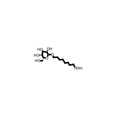 CCCCCCCCCCCCCCCCCCOC1O[C@H](CO)[C@@H](O)[C@H](O)[C@H]1O